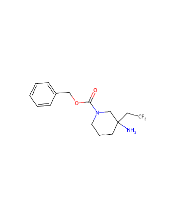 NC1(CC(F)(F)F)CCCN(C(=O)OCc2ccccc2)C1